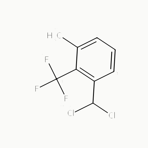 Cc1cc[c]c(C(Cl)Cl)c1C(F)(F)F